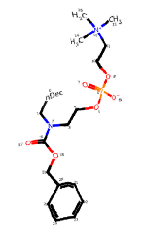 CCCCCCCCCCCN(CCOP(=O)([O-])OCC[N+](C)(C)C)C(=O)OCc1ccccc1